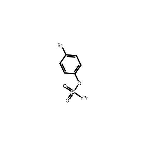 CCCS(=O)(=O)Oc1ccc(Br)cc1